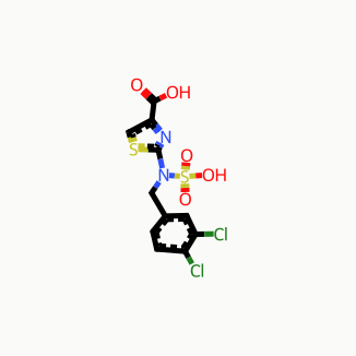 O=C(O)c1csc(N(Cc2ccc(Cl)c(Cl)c2)S(=O)(=O)O)n1